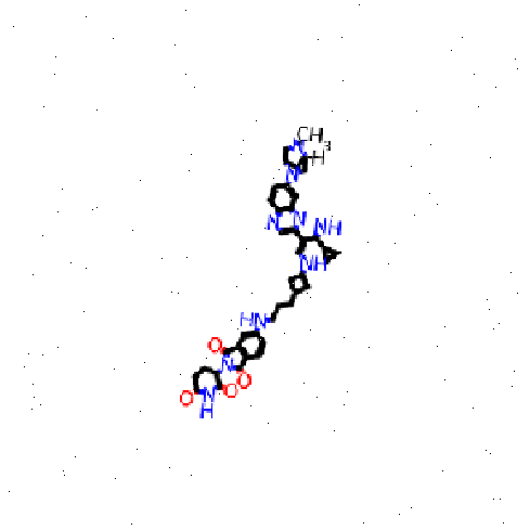 CN1CC2C[C@H]1CN2c1ccc2ncc(/C(=C/NC3CC(CCCNc4ccc5c(c4)C(=O)N(C4CCC(=O)NC4=O)C5=O)C3)C(=N)C3CC3)nc2c1